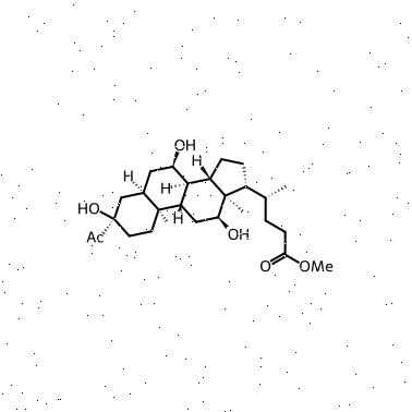 COC(=O)CC[C@@H](C)[C@H]1CC[C@H]2[C@@H]3[C@H](O)C[C@@H]4C[C@@](O)(C(C)=O)CC[C@]4(C)[C@H]3C[C@H](O)[C@]12C